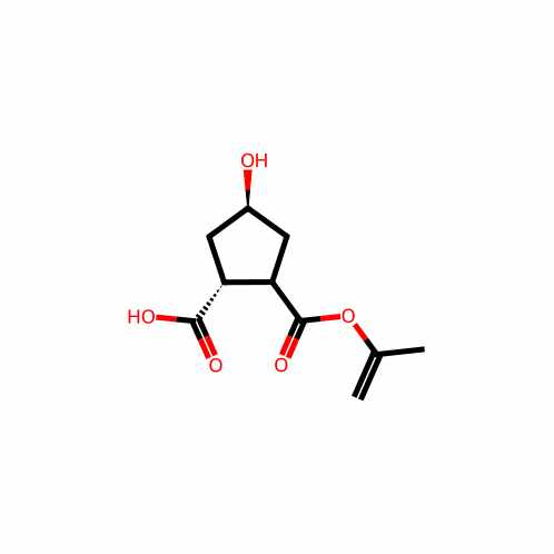 C=C(C)OC(=O)C1C[C@H](O)C[C@H]1C(=O)O